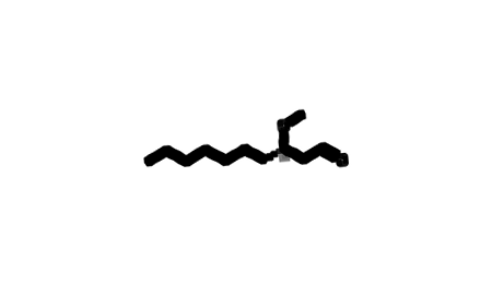 CCCCCCC[C@@H](CC=O)OC